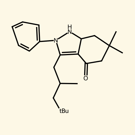 CC(CC1=C2C(=O)CC(C)(C)CC2NN1c1ccccc1)CC(C)(C)C